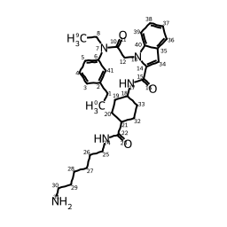 CCc1cccc(N(CC)C(=O)Cn2c(C(=O)NC3CCC(C(=O)NCCCCCCN)CC3)cc3ccccc32)c1